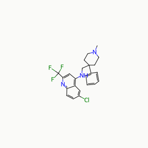 CN1CCC(CNc2cc(C(F)(F)F)nc3ccc(Cl)cc23)(c2ccccc2)CC1